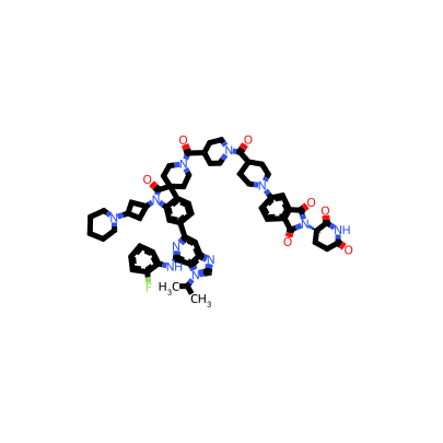 CC(C)n1cnc2cc(-c3ccc4c(c3)N(C3CC(N5CCCCC5)C3)C(=O)C43CCN(C(=O)C4CCN(C(=O)C5CCN(c6ccc7c(c6)C(=O)N([C@@H]6CCC(=O)NC6=O)C7=O)CC5)CC4)CC3)nc(Nc3ccccc3F)c21